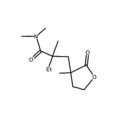 CCC(C)(CC1(C)CCOC1=O)C(=O)N(C)C